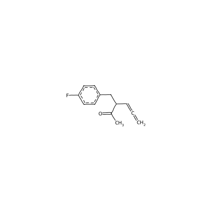 C=C=CC(Cc1ccc(F)cc1)C(C)=O